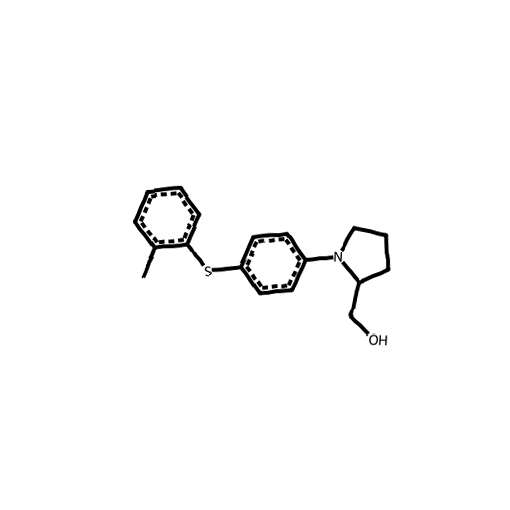 Cc1ccccc1Sc1ccc(N2CCCC2CO)cc1